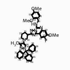 COc1ccc(CNc2nc3cc(OC)c(F)cc3c3nc(C4CCCN(c5cn(C(c6ccccc6)(c6ccccc6)c6ccccc6)nc5C)C4)nn23)c(OC)c1